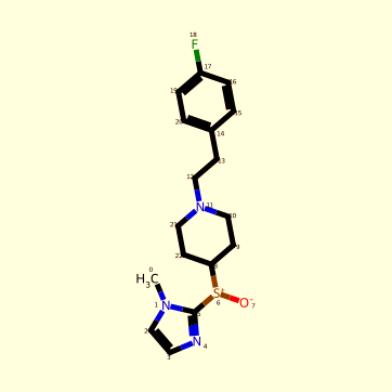 Cn1ccnc1[S+]([O-])C1CCN(CCc2ccc(F)cc2)CC1